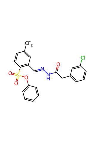 O=C(Cc1cccc(Cl)c1)NN=Cc1cc(C(F)(F)F)ccc1S(=O)(=O)Oc1ccccc1